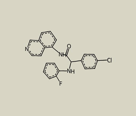 O=C(Nc1cccc2cnccc12)C(Nc1ccccc1F)c1ccc(Cl)cc1